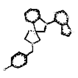 Clc1ccc(CN2CC[C@@]3(C2)CN(c2ncnc4[nH]ccc24)c2ccccc23)cc1